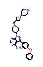 Nc1ncnc2c1c(-c1ccc(Oc3ccccc3)cc1)nn2C1CCN(CC2CN(C3CCNCC3)C2)CC1